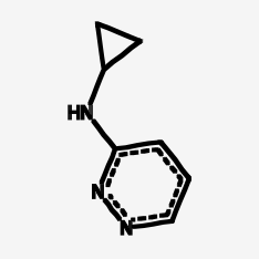 c1cnnc(NC2CC2)c1